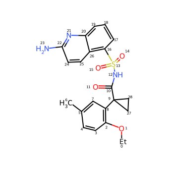 CCOc1ccc(C)cc1C1(C(=O)NS(=O)(=O)c2cccc3nc(N)ccc23)CC1